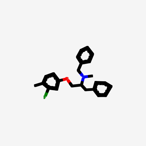 Cc1ccc(OCC(Cc2ccccc2)N(C)Cc2ccccc2)cc1F